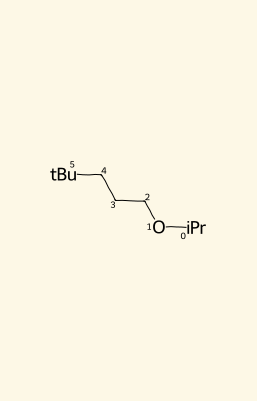 CC(C)OCCCC(C)(C)C